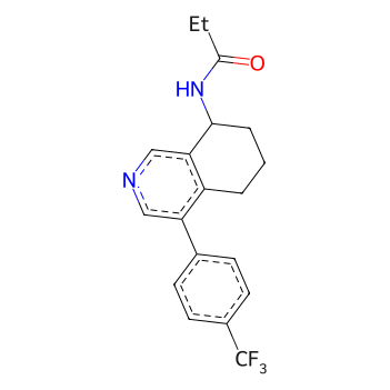 CCC(=O)NC1CCCc2c(-c3ccc(C(F)(F)F)cc3)cncc21